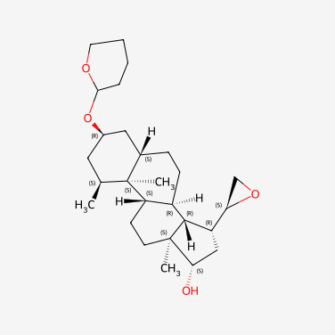 C[C@H]1C[C@@H](OC2CCCCO2)C[C@@H]2CC[C@H]3[C@@H]4[C@H]([C@H]5CO5)C[C@H](O)[C@@]4(C)CC[C@@H]3[C@]21C